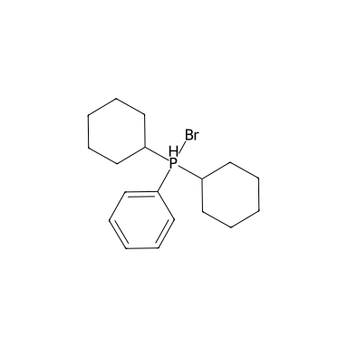 Br[PH](c1ccccc1)(C1CCCCC1)C1CCCCC1